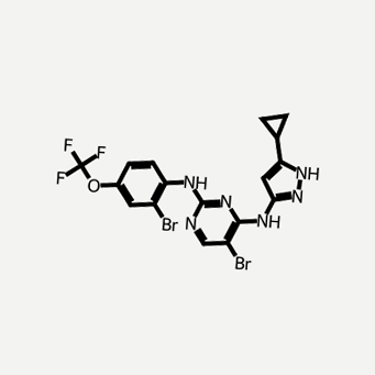 FC(F)(F)Oc1ccc(Nc2ncc(Br)c(Nc3cc(C4CC4)[nH]n3)n2)c(Br)c1